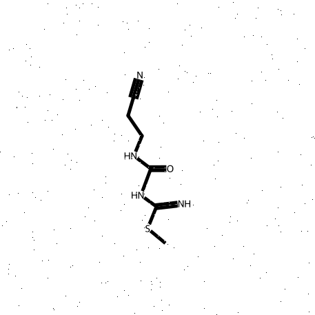 CSC(=N)NC(=O)NCCC#N